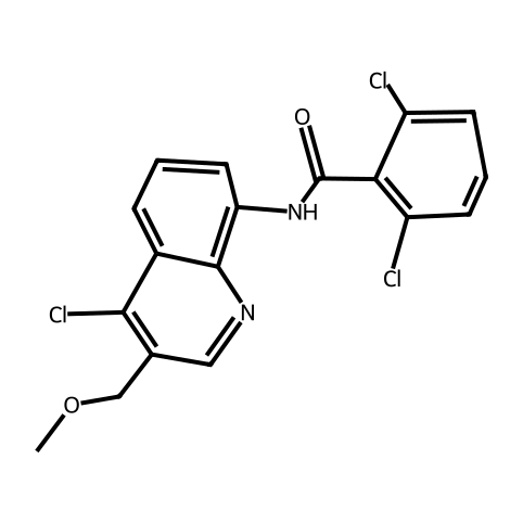 COCc1cnc2c(NC(=O)c3c(Cl)cccc3Cl)cccc2c1Cl